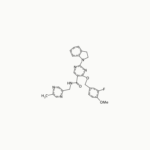 COc1ccc(COc2nc(N3CCc4ccccc43)ncc2C(=O)NCc2cnc(C)cn2)cc1F